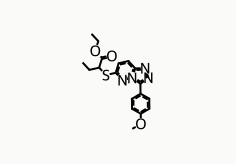 CCOC(=O)C(CC)Sc1ccc2nnc(-c3ccc(OC)cc3)n2n1